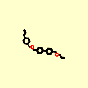 C=CCOCc1ccc(-c2ccc(COC[C@H]3CC[C@H](CC=C)CC3)cc2)cc1